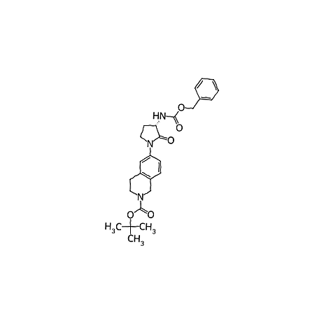 CC(C)(C)OC(=O)N1CCc2cc(N3CC[C@H](NC(=O)OCc4ccccc4)C3=O)ccc2C1